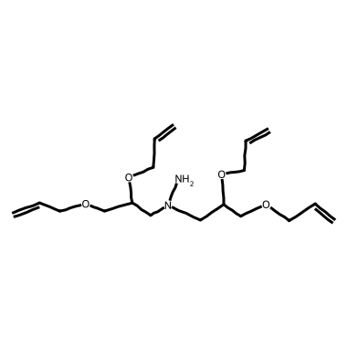 C=CCOCC(CN(N)CC(COCC=C)OCC=C)OCC=C